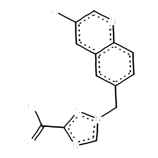 O=C(O)c1ncn(Cc2ccc3ncc(Cl)cc3c2)n1